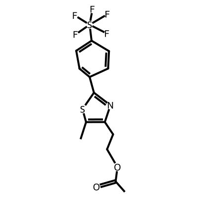 CC(=O)OCCc1nc(-c2ccc(S(F)(F)(F)(F)F)cc2)sc1C